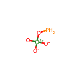 [O-][Cl+3]([O-])([O-])OP